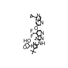 Cn1c(Nc2cc(C(C)(C)C)n([C@H]3COC[C@@H]3O)n2)nc2ncc(Oc3cnc4cnc(C5CC5)n4c3)c(C(F)F)c21